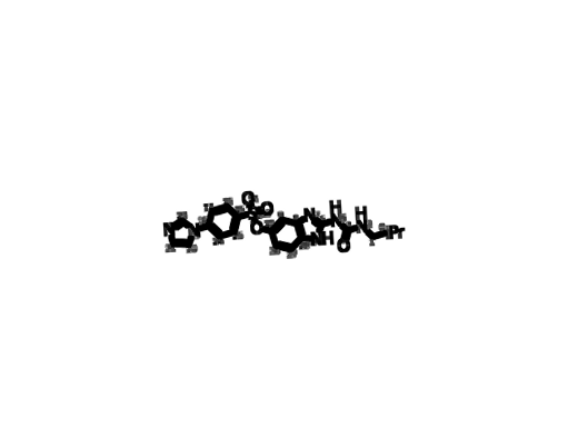 CC(C)CNC(=O)Nc1nc2cc(OS(=O)(=O)c3ccc(-n4ccnc4)cc3)ccc2[nH]1